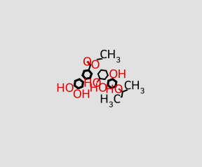 CCC(O)CC.CCCOC(=O)c1ccccc1.OC1CCCCC1.Oc1cccc(O)c1.Oc1ccccc1O